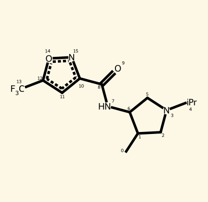 CC1CN(C(C)C)CC1NC(=O)c1cc(C(F)(F)F)on1